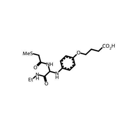 CCNC(=O)C(NC(=O)CSC)Nc1ccc(OCCCC(=O)O)cc1